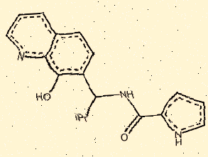 CC(C)C(NC(=O)c1ccc[nH]1)c1ccc2cccnc2c1O